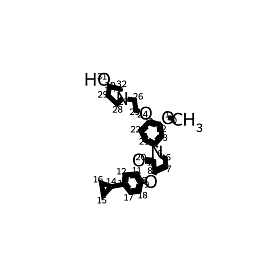 COc1cc(N2CC=C(Oc3ccc(C4CC4)cc3)C2=O)ccc1OCCN1CC[C@H](O)C1